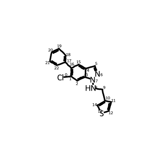 Clc1cc2c(cnn2NCc2ccsc2)cc1-c1ccccc1